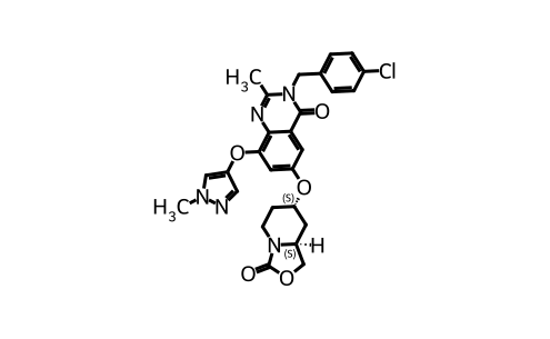 Cc1nc2c(Oc3cnn(C)c3)cc(O[C@H]3CCN4C(=O)OC[C@@H]4C3)cc2c(=O)n1Cc1ccc(Cl)cc1